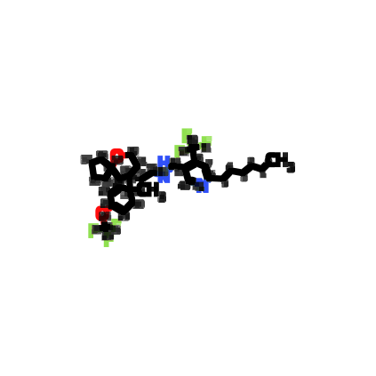 CCCCCCc1cc(C(F)(F)F)c(CNCC[C@@]2(C3(C)C=CC(OC(F)(F)F)=CC3)CCOC3(CCCC3)C2)cn1